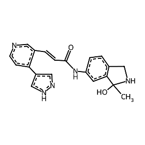 CC1(O)NCc2ccc(NC(=O)/C=C/c3cnccc3-c3cn[nH]c3)cc21